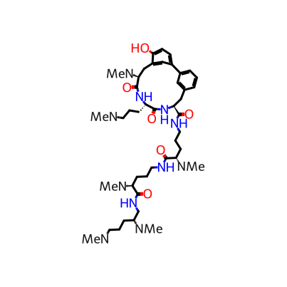 CNCCC[C@@H](CNC(=O)[C@H](CCCNC(=O)[C@H](CCCNC(=O)[C@@H]1Cc2cccc(c2)-c2ccc(O)c(c2)C[C@H](NC)C(=O)N[C@@H](CCCNC)C(=O)N1)NC)NC)NC